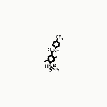 Cc1cc(C(=O)Nc2ccc(C(F)(F)F)cc2)c(C)cc1NS(=O)(=O)C(C)C